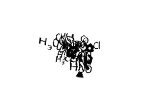 COC(=O)c1cc(Cl)cc(N2CC[C@](NC(=O)OC(C)(C)C)(C(=O)NC3CC3)C2)c1Cn1cnc2c(NC(=O)OC(C)(C)C)ncnc21